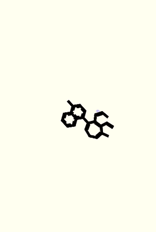 C=CC1=C(/C=C\C)C(c2ccc(C)c3ccccc23)=CCC=C1C